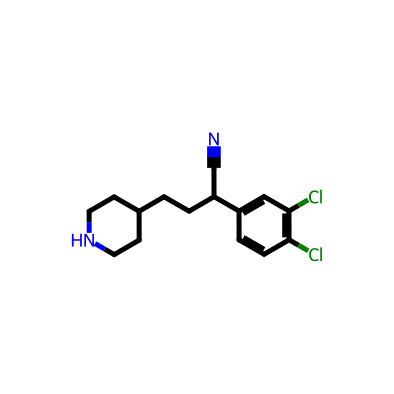 N#CC(CCC1CCNCC1)c1ccc(Cl)c(Cl)c1